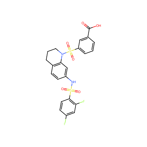 O=C(O)c1cccc(S(=O)(=O)N2CCCc3ccc(NS(=O)(=O)c4ccc(F)cc4F)cc32)c1